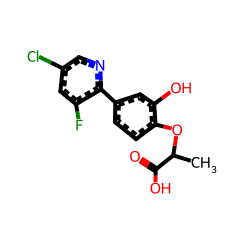 CC(Oc1ccc(-c2ncc(Cl)cc2F)cc1O)C(=O)O